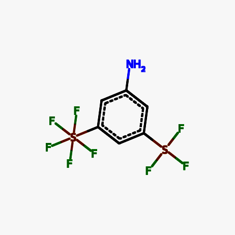 Nc1cc(S(F)(F)F)cc(S(F)(F)(F)(F)F)c1